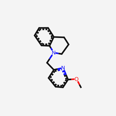 COc1cccc(CN2CCCc3ccccc32)n1